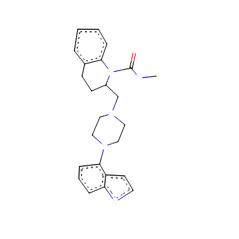 CC(C)NC(=O)N1c2ccccc2CCC1CN1CCN(c2cccc3[nH]ccc23)CC1